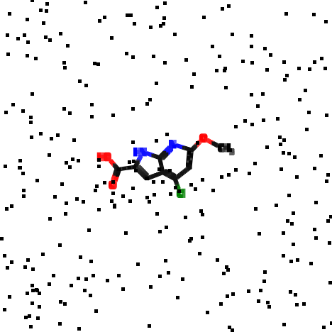 COc1cc(Cl)c2cc(C(=O)O)[nH]c2n1